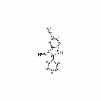 N#Cc1ccc2c(c1)C(C#N)C(c1cccnc1)N2